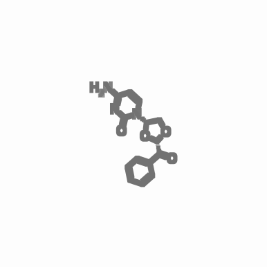 Nc1ccn([C@@H]2CO[C@H](C(=O)c3ccccc3)O2)c(=O)n1